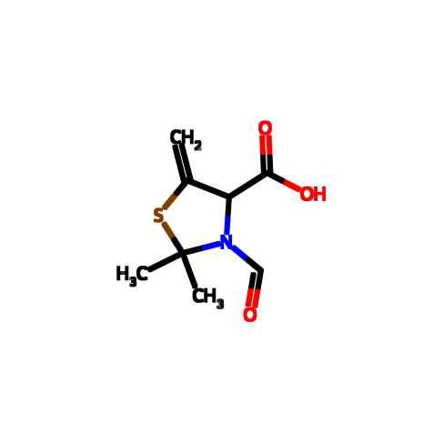 C=C1SC(C)(C)N(C=O)C1C(=O)O